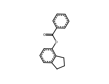 O=C(Oc1cccc2c1CC[C]2)c1ccccc1